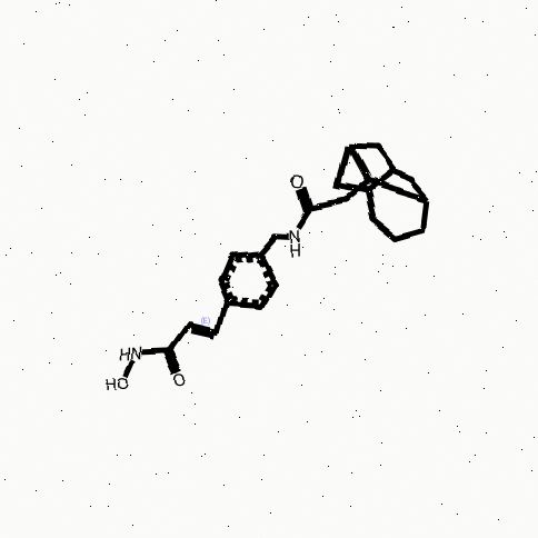 O=C(/C=C/c1ccc(CNC(=O)CC2C3CCCC4CC2CC4C3)cc1)NO